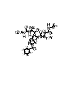 CCC[C@H](NC(=O)[C@@H]1C[C@]2(CC(C(=O)c3ccccc3)=NO2)CN1C(=O)[C@@H](NC(=O)NC(C)(C)C)C(C)(C)C)C(=O)C(=O)NC1CC1